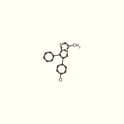 Cc1csc2c(-c3ccccc3)c(-c3ccc(Cl)cc3)cn12